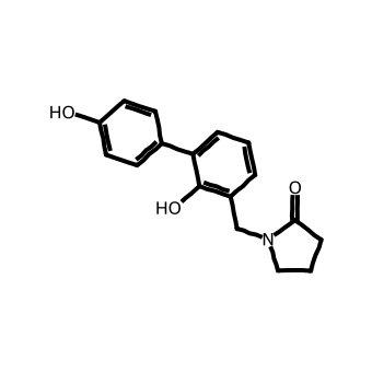 O=C1CCCN1Cc1cccc(-c2ccc(O)cc2)c1O